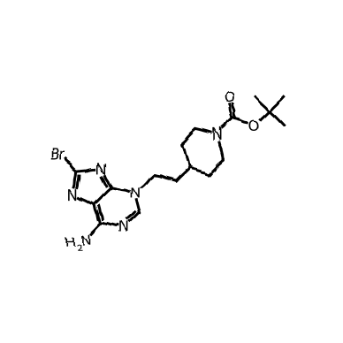 CC(C)(C)OC(=O)N1CCC(CCn2cnc(N)c3nc(Br)nc2-3)CC1